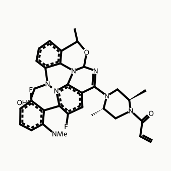 C=CC(=O)N1C[C@H](C)N(C2=NC3OC(C)c4cccc(N(C)CC=O)c4N3c3nc(-c4c(F)cccc4NC)c(F)cc32)C[C@H]1C